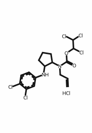 C=CCN(C(=O)OC(Cl)C(Cl)Cl)C1CCCC1Nc1ccc(Cl)c(Cl)c1.Cl